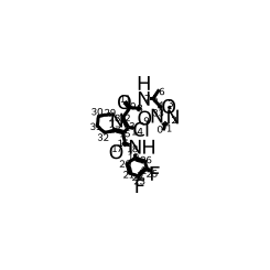 Cc1noc(C(C)NC(=O)C(=O)c2c(Cl)c(C(=O)Nc3ccc(F)c(F)c3)c3n2CCCC3)n1